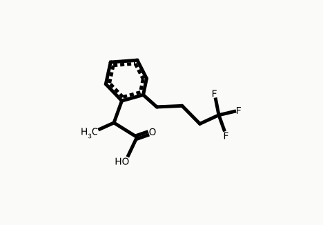 CC(C(=O)O)c1ccccc1CCCC(F)(F)F